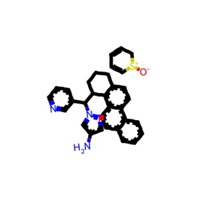 Nc1cnn(C(c2cccnc2)C2CCCc3ccc4c(ccc5ccccc54)c32)c1.[O-][S+]1C=CC=CC1